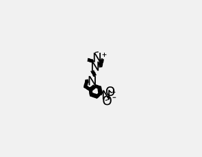 Cc1n(CCN2CCc3ccc([N+](=O)[O-])cc32)cc[n+]1C